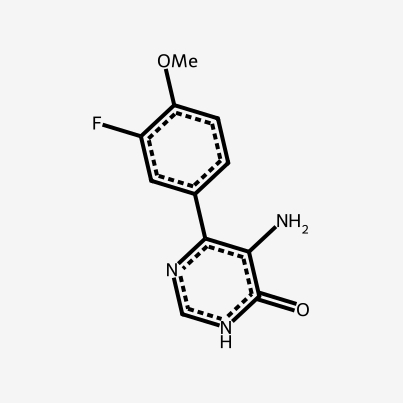 COc1ccc(-c2nc[nH]c(=O)c2N)cc1F